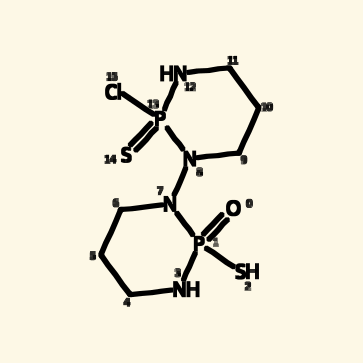 O=P1(S)NCCCN1N1CCCNP1(=S)Cl